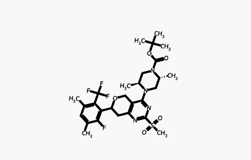 Cc1cc(C)c(C(F)(F)F)c(C2Cc3nc(S(C)(=O)=O)nc(N4C[C@@H](C)N(C(=O)OC(C)(C)C)C[C@@H]4C)c3CO2)c1F